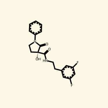 O=C(NCCc1cc(F)cc(F)c1)[C@@]1(O)CCN(c2ccccc2)C1=O